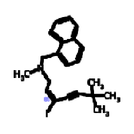 CN(C/C=C(/I)C#CC(C)(C)C)Cc1cccc2ccccc12